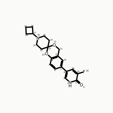 O=c1[nH]cc(-c2ccc3c(c2)COC2(CCN(C4CCC4)CC2)O3)cc1F